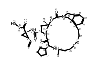 C=C[C@@H]1C[C@]1(NC(=O)[C@@H]1C[C@@H]2CN1C(=O)[C@H](C1CCCC1)NC(C)CCCCCCc1cccc3c1CN(C3)C(=O)O2)C(=O)NS